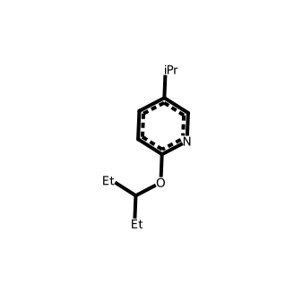 CCC(CC)Oc1ccc(C(C)C)cn1